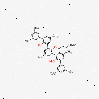 COCCCOc1c(-c2cc(C)cc(-c3cc(C(C)(C)C)cc(C(C)(C)C)c3)c2O)cc(C)cc1-c1cc(C)cc(-c2cc(C(C)(C)C)cc(C(C)(C)C)c2)c1O